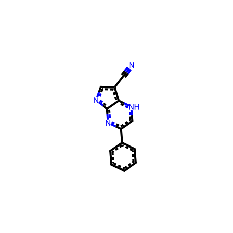 N#Cc1cnc2nc(-c3ccccc3)c[nH]c1-2